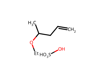 C=CCC(C)OCC.O=S(=O)(O)O